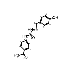 NC(=O)c1ccc(NC(=O)NCCc2ccc(O)cc2)cc1